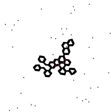 c1ccc(Cc2ccccc2-c2cc(N(c3ccc(-c4ccc5c(ccc6ccccc65)c4)cc3)c3cccc(-c4ccccc4)c3-c3ccccc3-c3ccccc3)ccc2Cc2ccccc2)cc1